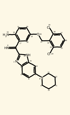 N=C(c1nc2ccc(N3CCCCC3)cc2[nH]1)c1cc(OCc2c(Cl)cccc2Cl)ccc1N